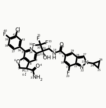 C[C@]1(C(N)=O)COc2c1cc([C@@](O)(CNC(=O)c1cc(F)c3nn(C4CC4)cc3c1)C(F)(F)F)nc2-c1ccc(F)c(Cl)c1